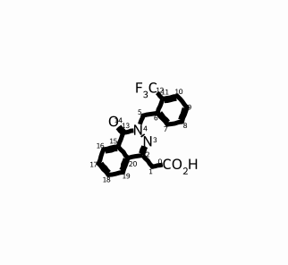 O=C(O)Cc1nn(Cc2ccccc2C(F)(F)F)c(=O)c2ccccc12